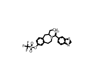 CCC1Cc2ccc(OS(=O)(=O)C(F)(F)F)cc2CCN1C(=O)c1ccc2ncsc2c1